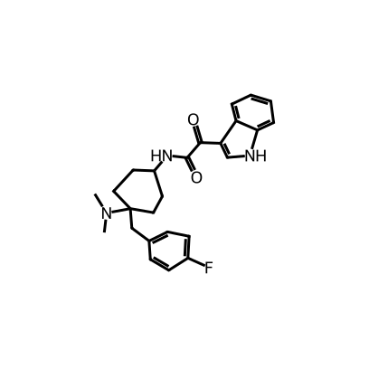 CN(C)C1(Cc2ccc(F)cc2)CCC(NC(=O)C(=O)c2c[nH]c3ccccc23)CC1